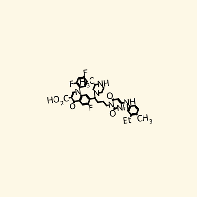 CCc1cc(Nc2cc(=O)n(CCCC(c3cc4c(cc3F)c(=O)c(C(=O)O)cn4-c3ccc(F)cc3F)N3CCNC(C)C3)c(=O)[nH]2)ccc1C